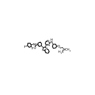 CN(C)CCOc1cccc(Nc2nccc(-c3c(-c4cccc(C(=O)Nc5ccc(F)cc5F)c4)nc4ccccn34)n2)c1